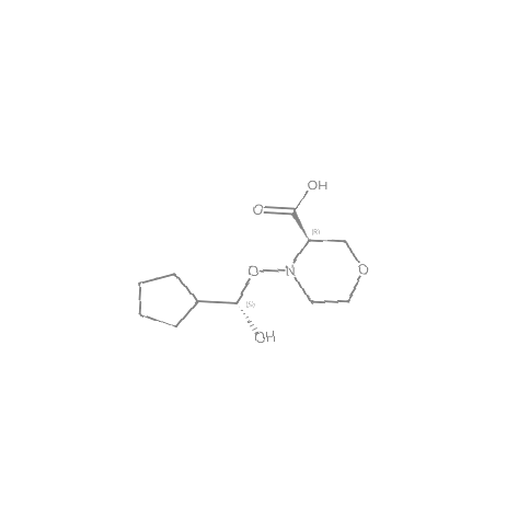 O=C(O)[C@H]1COCCN1O[C@H](O)C1CCCC1